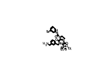 CCOP(=O)(CC(=O)N1CCN(C(=O)Nc2cccc(Br)c2)C1C(=O)NCc1cccc(CN)c1)OCC